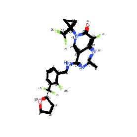 Cc1nc(NCc2cccc(C(F)(F)[C@@H]3CCCO3)c2F)c2cn(C3(C(F)F)CC3)c(=O)c(F)c2n1